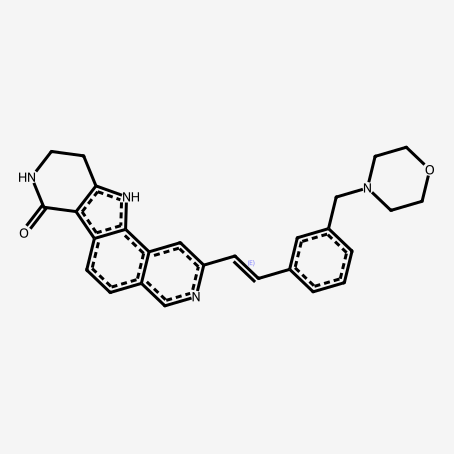 O=C1NCCc2[nH]c3c(ccc4cnc(/C=C/c5cccc(CN6CCOCC6)c5)cc43)c21